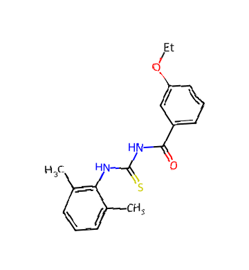 CCOc1cccc(C(=O)NC(=S)Nc2c(C)cccc2C)c1